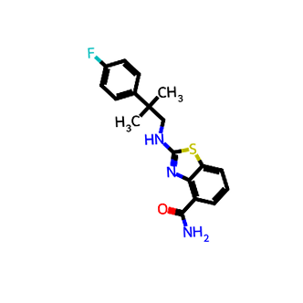 CC(C)(CNc1nc2c(C(N)=O)cccc2s1)c1ccc(F)cc1